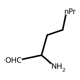 CCCCCC(N)[C]=O